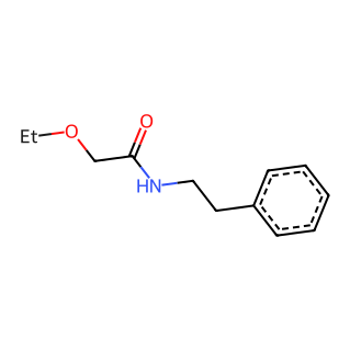 [CH2]COCC(=O)NCCc1ccccc1